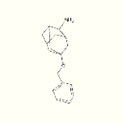 NC1C2CC3CC1CC(OCc1ccccc1)(C3)C2